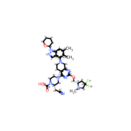 Cc1cc2c(cnn2C2CCCCO2)c(N2CCc3c(nc(OC[C@@H]4CC(F)(F)CN4C)nc3N3CCN(C(=O)O)[C@@H](CC#N)C3)C2)c1C